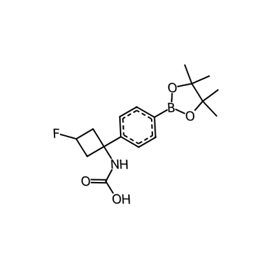 CC1(C)OB(c2ccc(C3(NC(=O)O)CC(F)C3)cc2)OC1(C)C